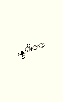 O=C1O[C@@H](CNC(=S)C2CC2)CN1c1ccc(N2CCSCC2)cc1